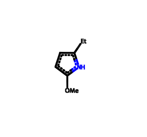 CCc1ccc(OC)[nH]1